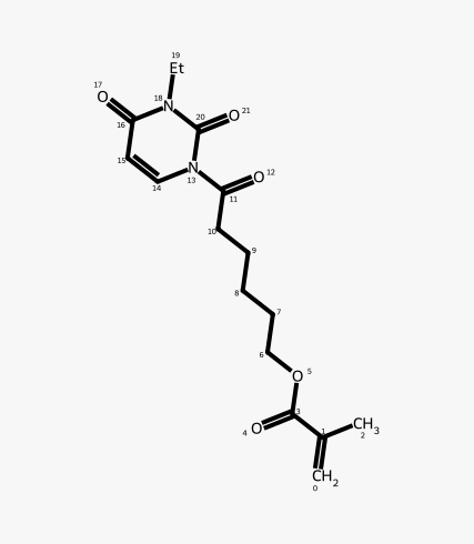 C=C(C)C(=O)OCCCCCC(=O)n1ccc(=O)n(CC)c1=O